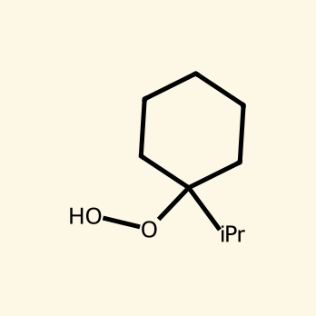 CC(C)C1(OO)CCCCC1